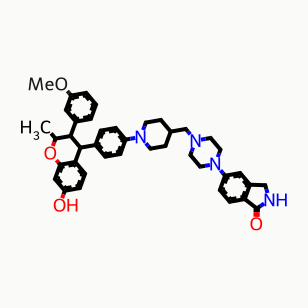 COc1cccc(C2C(C)Oc3cc(O)ccc3C2c2ccc(N3CCC(CN4CCN(c5ccc6c(c5)CNC6=O)CC4)CC3)cc2)c1